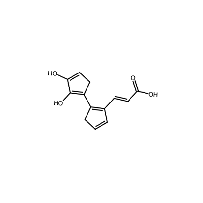 O=C(O)C=CC1=C(C2=C(O)C(O)=CC2)CC=C1